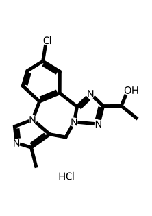 Cc1ncn2c1Cn1nc(C(C)O)nc1-c1cc(Cl)ccc1-2.Cl